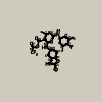 Cc1cc(Nc2nc(C)c(C(=O)OC(=O)C(F)(F)F)c(Nc3ccc4oc(=O)[nH]c4c3)n2)cc(C)c1F